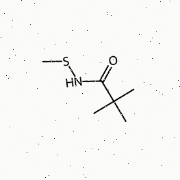 CSNC(=O)C(C)(C)C